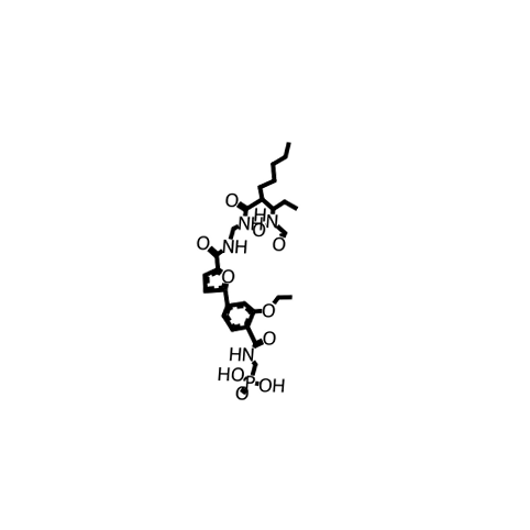 CCCCCC(C(=O)NCNC(=O)c1ccc(-c2ccc(C(=O)NCP(=O)(O)O)c(OCC)c2)o1)C(CC)N(O)C=O